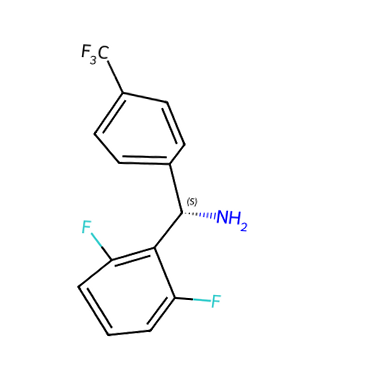 N[C@@H](c1ccc(C(F)(F)F)cc1)c1c(F)cccc1F